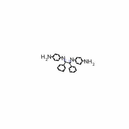 Nc1ccc(/N=C(/C(=N/c2ccc(N)cc2)c2ccccc2)c2ccccc2)cc1